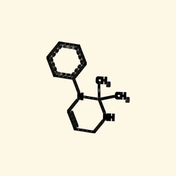 CC1(C)NCC=CN1c1ccccc1